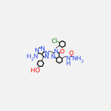 NC(=O)NCc1cccc2nc(Cn3nc(-c4ccc(O)cc4)c4c(N)ncnc43)n(Cc3ccccc3Cl)c(=O)c12